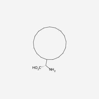 N[C@H](C(=O)O)C1CCCCCCCCCCCCCCCC1